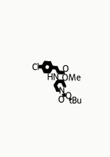 COC(=O)C(Cc1ccc(Cl)cc1)NC1CCN(C(=O)OC(C)(C)C)CC1